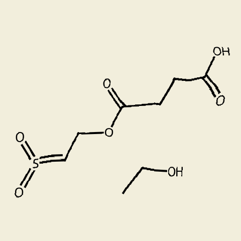 CCO.O=C(O)CCC(=O)OCC=S(=O)=O